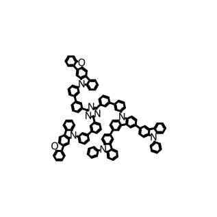 c1ccc(-n2c3ccccc3c3cc(-c4ccc5c(c4)c4cc(-c6ccc7c(c6)c6ccccc6n7-c6ccccc6)ccc4n5-c4cccc(-c5cccc(-c6nc(-c7cccc(-c8cccc(-n9c%10ccccc%10c%10cc%11oc%12ccccc%12c%11cc%109)c8)c7)nc(-c7cccc(-c8cccc(-n9c%10ccccc%10c%10cc%11oc%12ccccc%12c%11cc%109)c8)c7)n6)c5)c4)ccc32)cc1